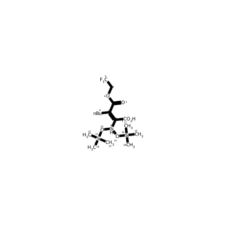 CCCCC(C(=O)OCC(F)(F)F)=C(C(=O)O)[SiH](O[Si](C)(C)C)O[Si](C)(C)C